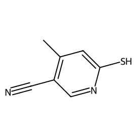 Cc1cc(S)ncc1C#N